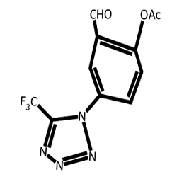 CC(=O)Oc1ccc(-n2nnnc2C(F)(F)F)cc1C=O